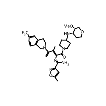 C=C(/C(C)=C(\N=C(/N)c1cc(C)on1)C(=O)N1CCC(N[C@@H]2CCOC[C@@H]2OC)CC1)N1CCc2cc(C(F)(F)F)ccc2C1